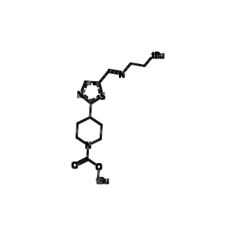 CC(C)(C)CCN=Cc1cnc(C2CCN(C(=O)OC(C)(C)C)CC2)s1